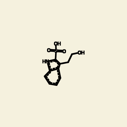 O=S(=O)(O)c1[nH]c2ccccc2c1CCO